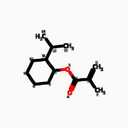 C=C(C)C(=O)OC1CCCCC1C(C)C